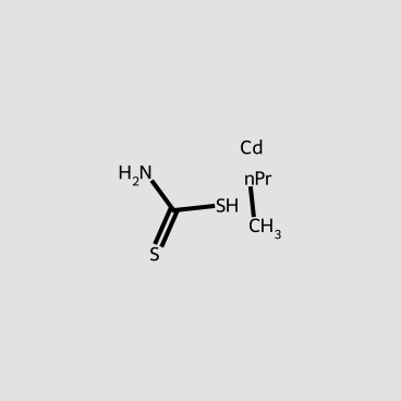 CCCC.NC(=S)S.[Cd]